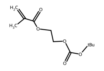 C=C(C)C(=O)OCCOC(=O)OC(C)(C)C